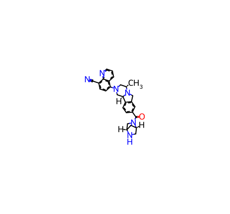 C[C@@H]1CN(c2ccc(C#N)c3ncccc23)C[C@@H]2c3ccc(C(=O)N4C[C@@H]5C[C@H]4CN5)cc3CN12